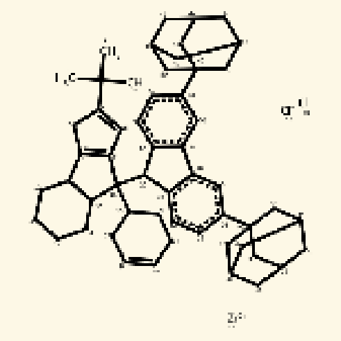 CC(C)(C)C1=CC2=C(C1)C1CCCCC1C2(C1CC=CCC1)C1c2ccc(C34CC5CC(CC(C5)C3)C4)cc2-c2cc(C34CC5CC(CC(C5)C3)C4)ccc21.[Cl-].[Cl-].[Zr+2]